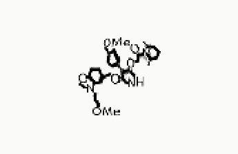 COCCCN1CCOc2ccc(CO[C@H]3CNC[C@@H](OCC(=O)N4[C@H](C)CCC[C@@H]4C)[C@@H]3c3ccc(COC)cc3)cc21